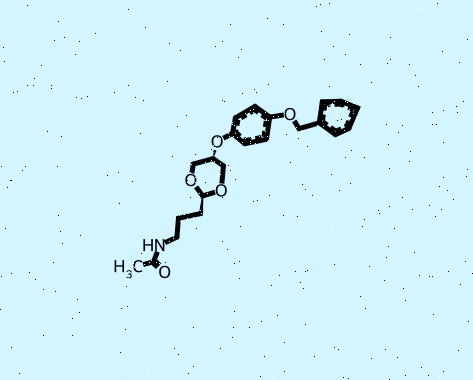 CC(=O)NCCC[C@H]1OC[C@H](Oc2ccc(OCc3ccccc3)cc2)CO1